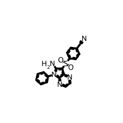 N#Cc1ccc(S(=O)(=O)c2c(N)n(-c3ccccc3)c3nccnc23)cc1